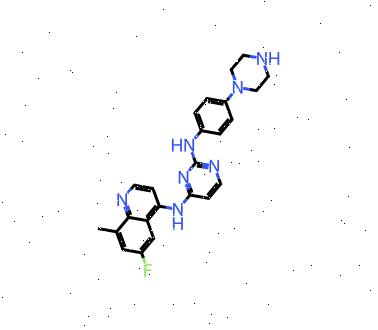 Cc1cc(F)cc2c(Nc3ccnc(Nc4ccc(N5CCNCC5)cc4)n3)ccnc12